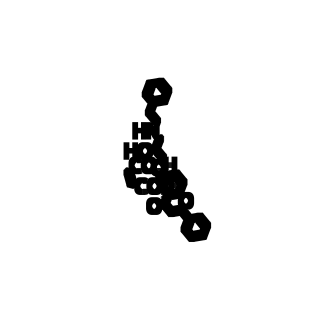 O=C(O)/C=C\C(=O)O.O=c1cc(-c2ccccc2)oc2ccc(OCC(O)CNCCc3ccccc3)cc12